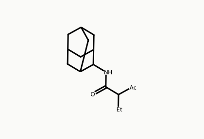 CCC(C(C)=O)C(=O)NC1C2CC3CC(C2)CC1C3